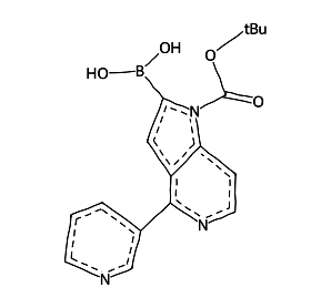 CC(C)(C)OC(=O)n1c(B(O)O)cc2c(-c3cccnc3)nccc21